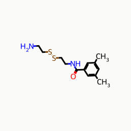 Cc1cc(C)cc(C(=O)NCCSSCCN)c1